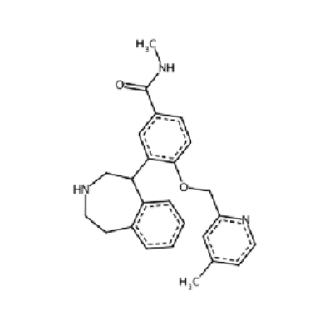 CNC(=O)c1ccc(OCc2cc(C)ccn2)c(C2CNCCc3ccccc32)c1